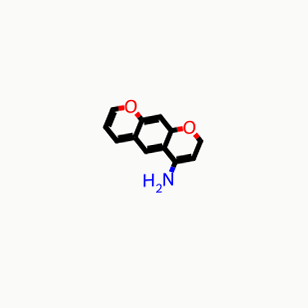 NC1=CCOC2C=C3OC=CC=C3C=C12